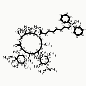 CC[C@H]1OC(=O)[C@H](C)C([C@H]2C[C@@](C)(OC)[C@@H](O)[C@H](C)O2)[C@H](C)[C@@H](O[C@@H]2O[C@H](C)C[C@H](N(C)C)[C@H]2O)[C@](C)(O)C[C@@H](C)CN(C(=O)CCCCCCC[PH](C)(c2ccccc2)c2ccccc2)[C@H](C)[C@@H](O)[C@]1(C)O